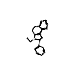 CCN1C2=C(CC1c1ccccc1)c1ccccc1CC2